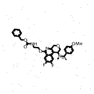 COc1ccc([C@@H](C)N(C)C2COCc3nc(OCCNC(=O)OCc4ccccc4)c4cc(F)c(F)cc4c32)cc1